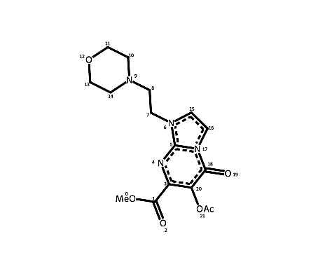 COC(=O)c1nc2n(CCN3CCOCC3)ccn2c(=O)c1OC(C)=O